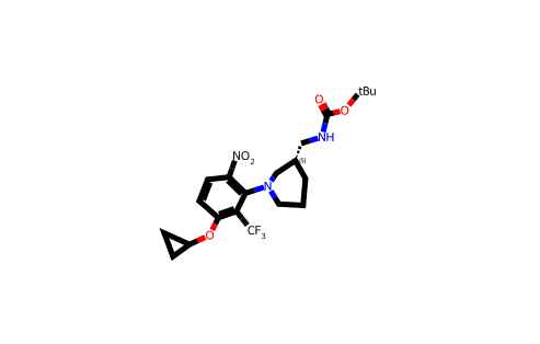 CC(C)(C)OC(=O)NC[C@@H]1CCCN(c2c([N+](=O)[O-])ccc(OC3CC3)c2C(F)(F)F)C1